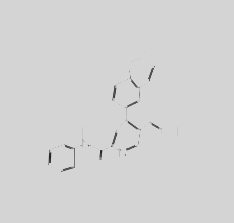 C=Cc1cnc(C(=O)Nc2ccccc2)cc1-c1ccc2c(c1)C=COO2